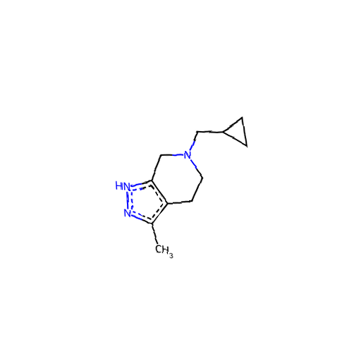 Cc1n[nH]c2c1CCN(CC1CC1)C2